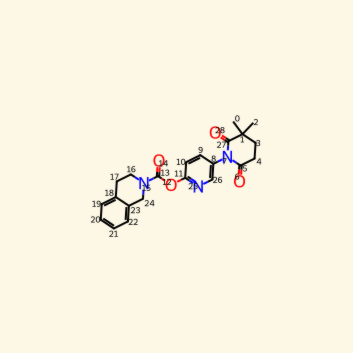 CC1(C)CCC(=O)N(c2ccc(OC(=O)N3CCc4ccccc4C3)nc2)C1=O